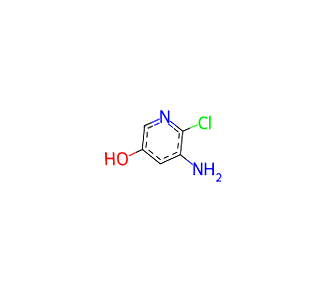 Nc1cc(O)cnc1Cl